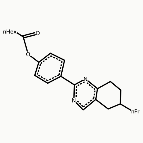 CCCCCCC(=O)Oc1ccc(-c2ncc3c(n2)CCC(CCC)C3)cc1